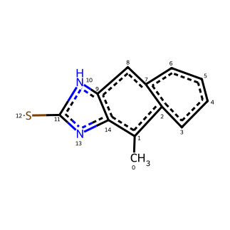 Cc1c2ccccc2cc2[nH]c([S])nc12